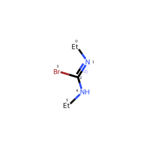 CC/N=C(\Br)NCC